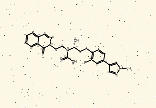 Cn1cc(-c2ccc(CC[C@@H](O)[C@H](CCn3ncc4ccccc4c3=O)C(=O)O)c(F)c2)cn1